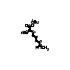 CCCCOC(=O)C(CCCC)SCCCCC(C)F